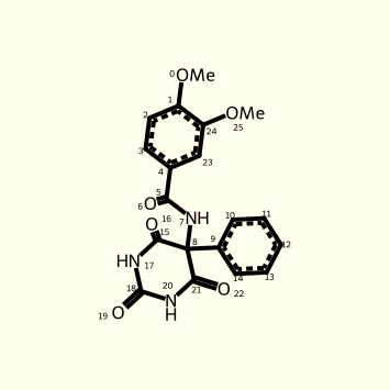 COc1ccc(C(=O)NC2(c3ccccc3)C(=O)NC(=O)NC2=O)cc1OC